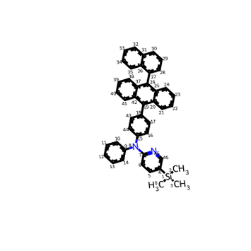 C[Si](C)(C)c1ccc(N(c2ccccc2)c2ccc(-c3c4ccccc4c(-c4cccc5ccccc45)c4ccccc34)cc2)nc1